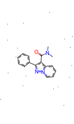 CN(C)C(=O)c1c(-c2ccccc2)nn2ccccc12